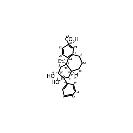 CC[C@@]12C[C@@H](O)[C@](O)(c3ccccc3)C[C@@H]1CCCc1cc(C(=O)O)ccc12